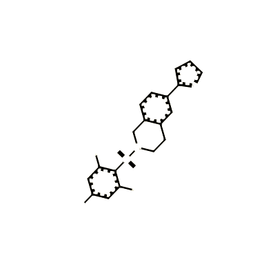 Cc1cc(C)c(S(=O)(=O)N2CCc3cc(-c4cccs4)ccc3C2)c(C)c1